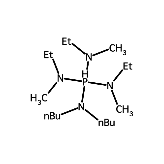 CCCCN(CCCC)[PH](N(C)CC)(N(C)CC)N(C)CC